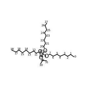 CCCCCCCC[O][Ti]([O]CCCCCCCC)([O]CCCCCCCC)[O]C(C)C